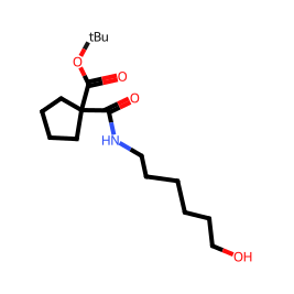 CC(C)(C)OC(=O)C1(C(=O)NCCCCCCO)CCCC1